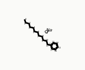 CCCCCCCCCCCCc1ccccc1.[Na].[O]